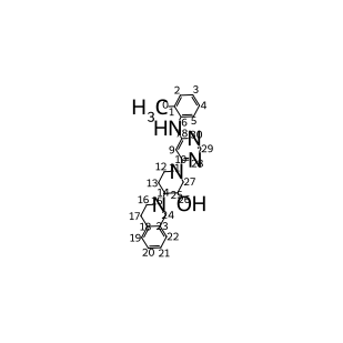 Cc1ccccc1Nc1cc(N2CCC(N3CCc4ccccc4C3)C(O)C2)ncn1